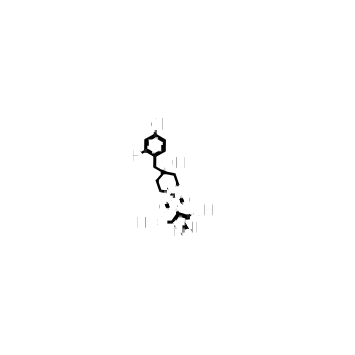 Cc1n[nH]c(C)c1S(=O)(=O)N1CCC(O)(Cc2ccc(Cl)cc2F)CC1